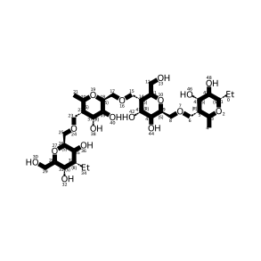 CC[C@@H]1OC(C)[C@H](COC[C@@H]2OC(CO)[C@@H](COC[C@@H]3OC(C)[C@@H](COC[C@@H]4OC(CO)[C@@H](O)[C@@H](CC)C4O)[C@@H](O)C3O)[C@@H](O)C2O)[C@H](O)C1O